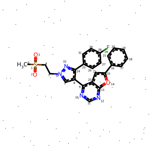 CS(=O)(=O)CCn1cc(-c2ncnc3oc(-c4ccccc4)cc23)c(-c2ccc(F)cc2)n1